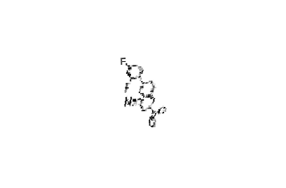 O=S([O-])c1ccc2cc(-c3ccc(F)cc3F)ccc2c1.[Na+]